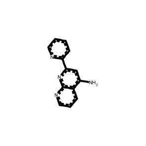 Nc1cc(-c2ccccn2)nc2ncccc12